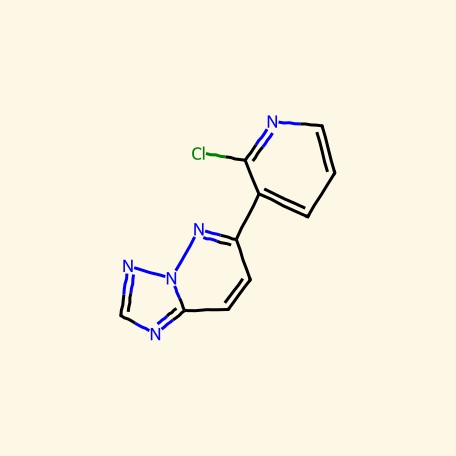 Clc1ncccc1-c1ccc2ncnn2n1